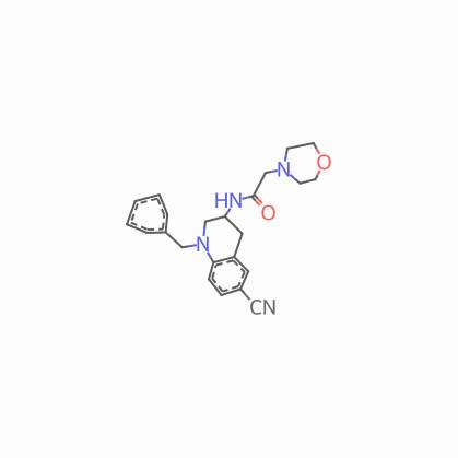 N#Cc1ccc2c(c1)CC(NC(=O)CN1CCOCC1)CN2Cc1ccccc1